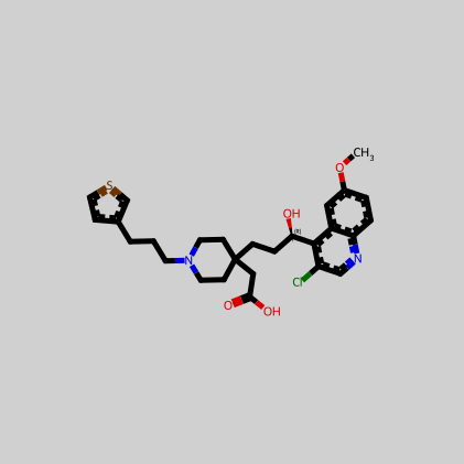 COc1ccc2ncc(Cl)c([C@H](O)CCC3(CC(=O)O)CCN(CCCc4ccsc4)CC3)c2c1